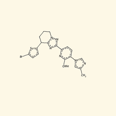 COc1nc(-c2nc3n(n2)CCCC3c2ccc(Br)s2)ccc1-n1cnc(C)c1